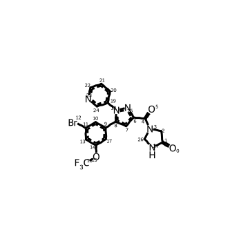 O=C1CN(C(=O)c2cc(-c3cc(Br)cc(OC(F)(F)F)c3)n(-c3cccnc3)n2)CN1